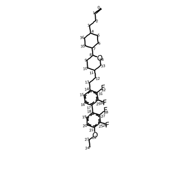 C=CCCC1CCC(C2CCC(CCc3ccc(-c4ccc(OCC)c(F)c4F)c(F)c3F)CO2)CC1